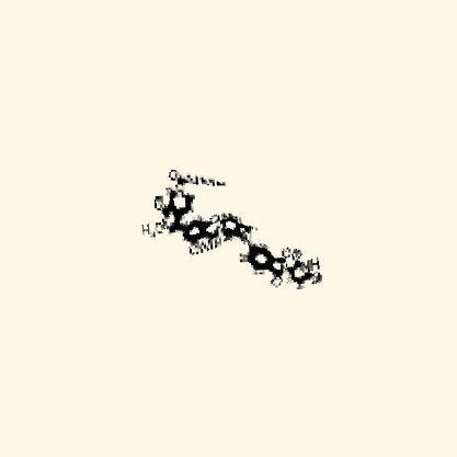 CNC(=O)N1CCc2c(-c3cc(OC)c(CN4CCC5CN(c6ccc7c(c6)C(=O)N(C6CCC(=O)NC6=O)C7=O)C5C4)c(OC)c3)cn(C)c(=O)c2C1